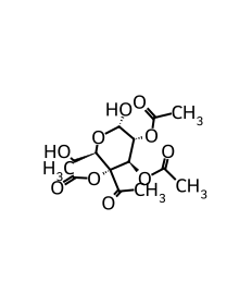 CC(=O)O[C@@H]1[C@@H](OC(C)=O)[C@@](OC(C)=O)(C(C)=O)[C@@H](CO)O[C@@H]1O